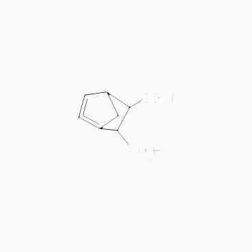 O=C(O)C1C2=C=CC(C2)C1C(=O)O